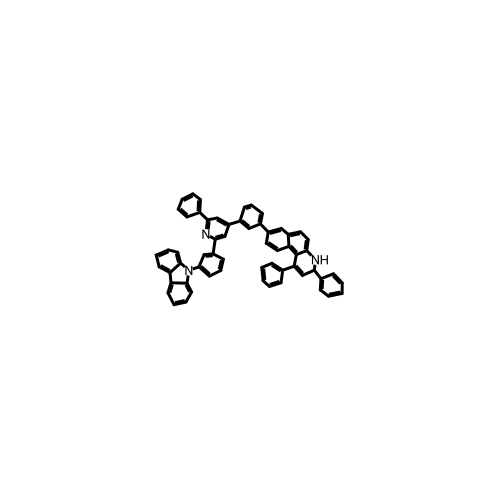 C1=C(c2ccccc2)c2c(ccc3cc(-c4cccc(-c5cc(-c6ccccc6)nc(-c6cccc(-n7c8ccccc8c8ccccc87)c6)c5)c4)ccc23)NC1c1ccccc1